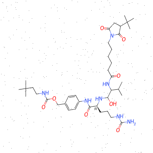 CC(C)C(NC(=O)CCCCCN1C(=O)CC(C(C)(C)C)C1=O)C(O)N[C@@H](CCCNC(N)=O)C(=O)Nc1ccc(COC(=O)NCCC(C)(C)C)cc1